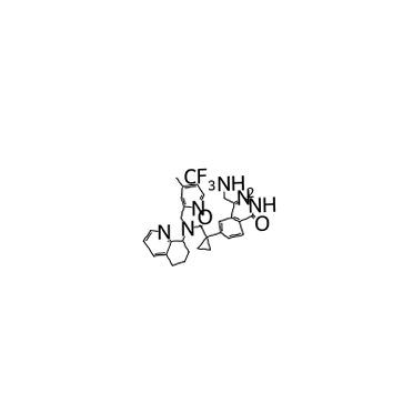 Cc1cc(CN(C(=O)C2(c3ccc4c(=O)[nH]nc(CN)c4c3)CC2)C2CCCc3cccnc32)ncc1C(F)(F)F